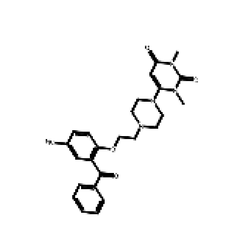 Cn1c(N2CCN(CCOc3ccc(C#N)cc3C(=O)c3ccccc3)CC2)cc(=O)n(C)c1=O